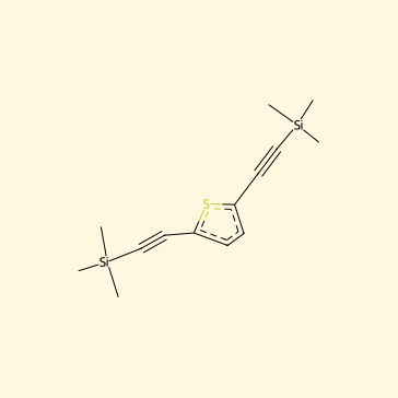 C[Si](C)(C)C#Cc1ccc(C#C[Si](C)(C)C)s1